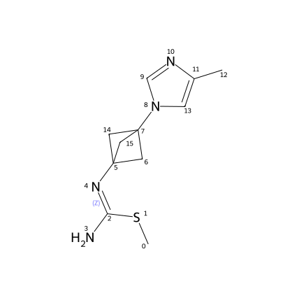 CS/C(N)=N\C12CC(n3cnc(C)c3)(C1)C2